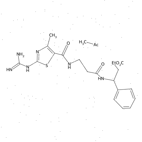 CC(C)=O.CCOC(=O)CC(NC(=O)CCNC(=O)c1sc(NC(=N)N)nc1C)c1ccccc1